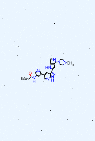 CN1CCN(c2nccc3[nH]c(-c4n[nH]c5ncc(-c6cncc(NC(=O)CC(C)(C)C)c6)cc45)cc23)CC1